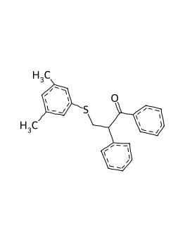 Cc1cc(C)cc(SCC(C(=O)c2ccccc2)c2ccccc2)c1